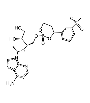 C[C@@H](O[C@H](COP1(=O)OCCC(c2cccc(S(C)(=O)=O)c2)O1)[C@@H](O)CO)n1cnc2c(N)ncnc21